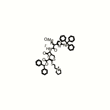 CON=C(C(=O)NC1C(=O)N2C(C(=O)OC(c3ccccc3)c3ccccc3)=C(SCC[N+]3(C)CCCC3)SCC12)c1csc(NC(c2ccccc2)(c2ccccc2)c2ccccc2)n1.[I-]